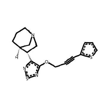 C(#Cc1cccs1)COc1nsnc1[C@H]1CN2CCC[C@H]1C2